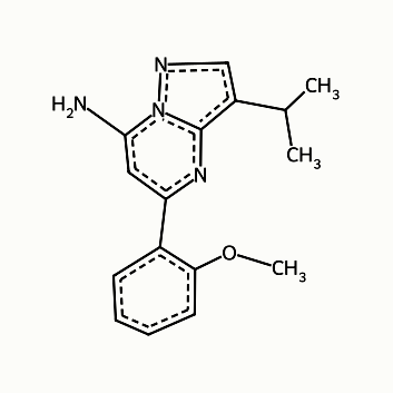 COc1ccccc1-c1cc(N)n2ncc(C(C)C)c2n1